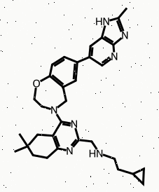 Cc1nc2ncc(-c3ccc4c(c3)CN(c3nc(CNCCC5CC5)nc5c3CC(C)(C)CC5)CCO4)cc2[nH]1